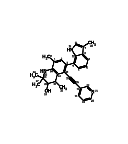 Cc1cc(-c2cccc3c(C)c[nH]c23)c(C#Cc2cccnc2)c2c1NC(C)(C)C(O)C2C